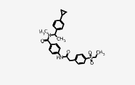 CCS(=O)(=O)c1ccc(CC(=O)Nc2ccc(C(=O)N(C)C(C)c3ccc(C4CC4)cc3)cc2)cc1